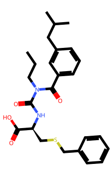 CCCN(C(=O)N[C@@H](CSCc1ccccc1)C(=O)O)C(=O)c1cccc(CC(C)C)c1